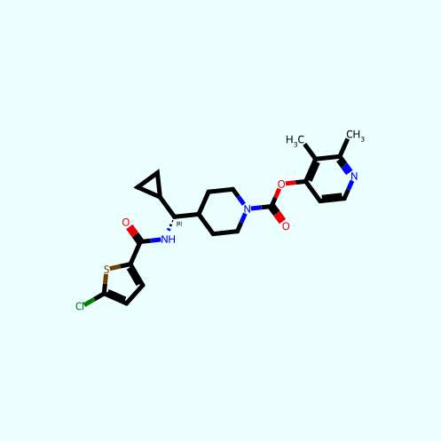 Cc1nccc(OC(=O)N2CCC([C@H](NC(=O)c3ccc(Cl)s3)C3CC3)CC2)c1C